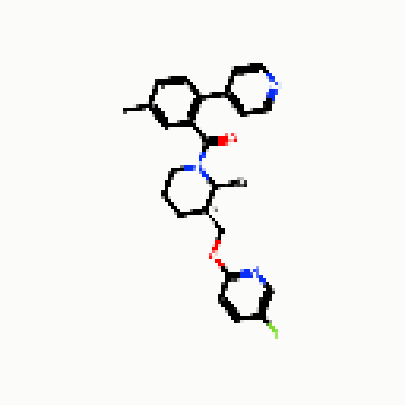 CCC1[C@@H](COc2ccc(F)cn2)CCCN1C(=O)c1cc(C)ccc1-c1ccncc1